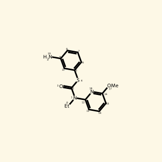 CCN(C(=O)Sc1cccc(N)c1)c1cccc(OC)n1